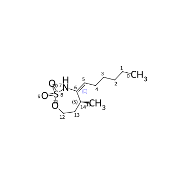 CCCCC/C=C1/NS(=O)(=O)OCC[C@@H]1C